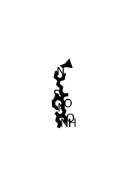 Cc1cc(C)c(CN2CCCc3sc(CCC4CCN(CC5CC5)CC4)c(C)c3C2=O)c(=O)[nH]1